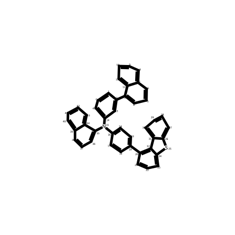 c1cc(-c2cccc3ccccc23)cc(N(c2ccc(-c3cccc4sc5ccccc5c34)cc2)c2cccc3ccccc23)c1